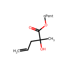 C=CCC(C)(O)C(=O)OCCCCC